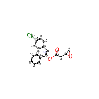 O=C(CC1CO1)O/C(=C/c1ccc(Cl)cc1)c1ccccc1